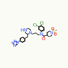 CS(=O)(=O)N1CCC(C(=O)N(CCCN2CCNCC2Cc2ccc(-n3cnnn3)cc2)c2ccc(Cl)c(Cl)c2)CC1